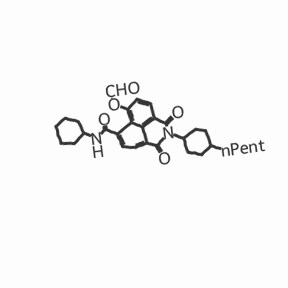 CCCCCC1CCC(N2C(=O)c3ccc(OC=O)c4c(C(=O)NC5CCCCC5)ccc(c34)C2=O)CC1